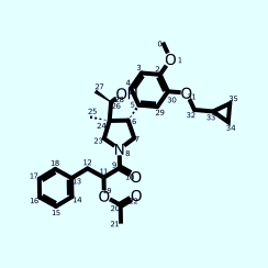 COc1ccc([C@@H]2CN(C(=O)C(Cc3ccccc3)OC(C)=O)C[C@@]2(C)[C@@H](C)O)cc1OCC1CC1